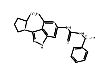 Cc1nc(NC(=O)N[C@H](C)c2ccccc2)cc2[nH]nc(N3CCCC3C(=O)O)c12